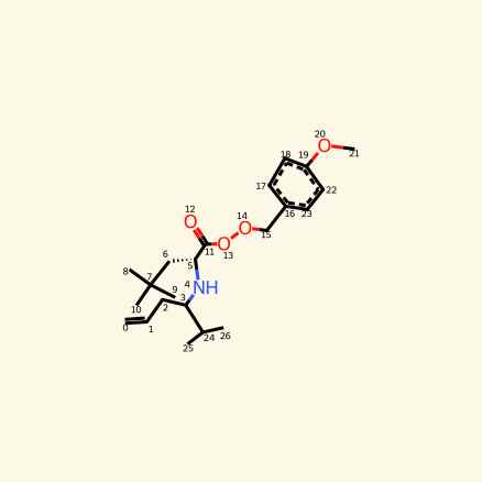 C=CCC(N[C@H](CC(C)(C)C)C(=O)OOCc1ccc(OC)cc1)C(C)C